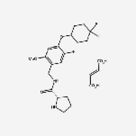 COc1cc(OC2CCC(F)(F)CC2)c(F)cc1CNC(=O)[C@@H]1CCCN1.O=C(O)/C=C/C(=O)O